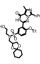 CCCc1nc(C)c2c(=O)[nH]c(-c3cc(S(=O)(=O)N(CCO)CC4COC5(CCCCC5)O4)ccc3OCC)nn12